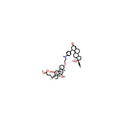 CC#C[C@]1(O)CCC2C3CCC4=CC(=O)CC(c5ccc(N(C)CCO[C@H]6CC[C@@]7(C)[C@@H](C6)C[C@@H](O)[C@@H]6[C@@H]7C[C@H](O)[C@]7(C)[C@@H]([C@H](C)CCC(=O)OC)CC[C@@H]67)cc5)C4=C3CC[C@@]21C